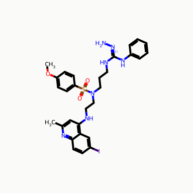 COc1ccc(S(=O)(=O)N(CCCN/C(=N\N)Nc2ccccc2)CCNc2cc(C)nc3ccc(I)cc23)cc1